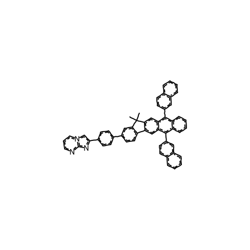 CC1(C)c2cc(-c3ccc(-c4cn5cccnc5n4)cc3)ccc2-c2cc3c(-c4ccc5ccccc5c4)c4ccccc4c(-c4ccc5ccccc5c4)c3cc21